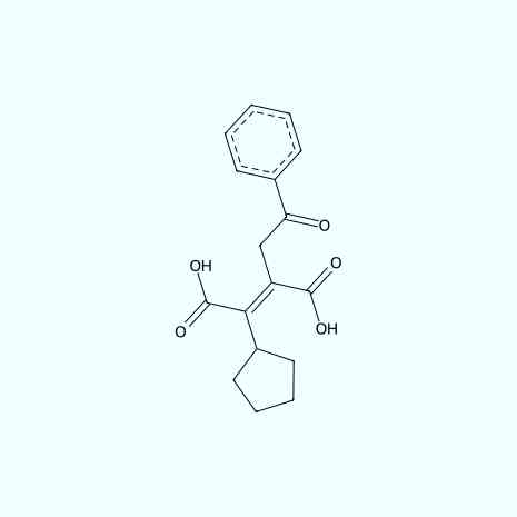 O=C(O)C(CC(=O)c1ccccc1)=C(C(=O)O)C1CCCC1